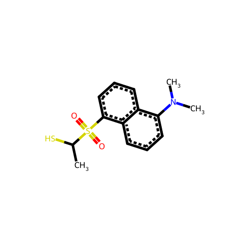 CC(S)S(=O)(=O)c1cccc2c(N(C)C)cccc12